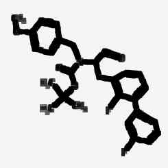 COc1ccc(CN(C(=O)OC(C)(C)C)C(C=O)Cc2cccc(-c3cccc(F)c3)c2F)cc1